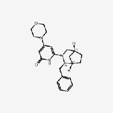 O=c1cc(N2CCOCC2)cc(N2C[C@@H]3CC[C@@H](C3)[C@H]2Cc2ccccc2)[nH]1